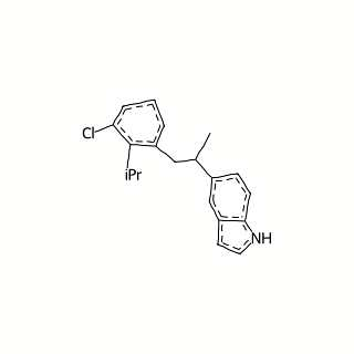 CC(C)c1c(Cl)cccc1CC(C)c1ccc2[nH]ccc2c1